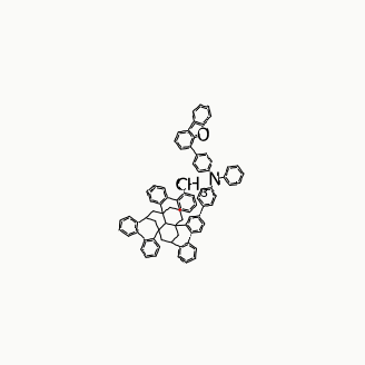 Cc1ccccc1-c1ccccc1C12CCCC34CC(CC5(CC(C1)c1ccccc1-c1ccccc15)C23)c1ccccc1-c1ccc(-c2ccc(N(c3ccccc3)c3ccc(-c5cccc6c5oc5ccccc56)cc3)cc2)cc14